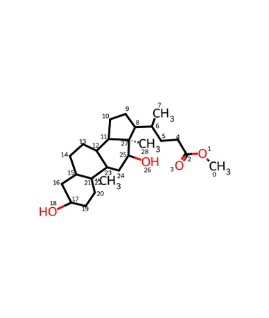 COC(=O)CCC(C)C1CCC2C3CCC4CC(O)CC[C@]4(C)C3CC(O)[C@]12C